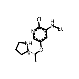 CCNc1cc(OC(C)[C@@H]2CCCN2)cnc1Cl